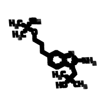 CC(C)(O)Cn1c(N)nc2cc(CCCO[Si](C)(C)C(C)(C)C)ccc21